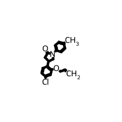 C=CCOc1cc(Cl)ccc1C1CC(=O)N(c2ccc(C)cc2)C1